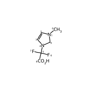 CN1C=CN(C(F)(F)C(=O)O)C1